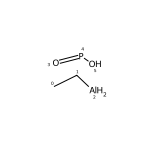 C[CH2][AlH2].O=PO